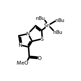 CCC[CH2][Sn]([CH2]CCC)([CH2]CCC)[c]1cn2cnc(C(=O)OC)c2s1